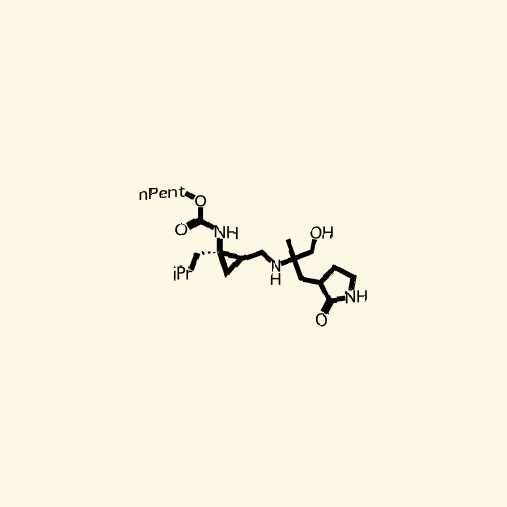 CCCCCOC(=O)N[C@]1(CC(C)C)CC1CNC(C)(CO)CC1CCNC1=O